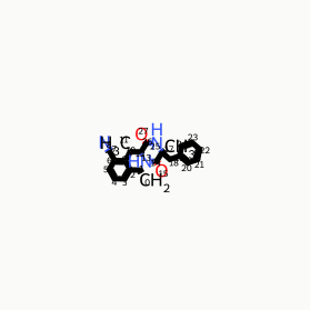 C=Cc1cccc(C#N)c1C(C)C1NC(=O)C(C)(Cc2ccccc2)NC1=O